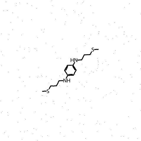 CSCCCNc1ccc(NCCCSC)cc1